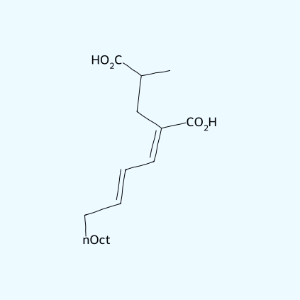 CCCCCCCCCC=CC=C(CC(C)C(=O)O)C(=O)O